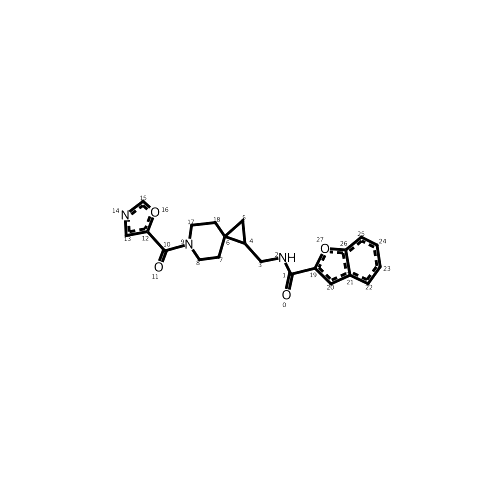 O=C(NCC1CC12CCN(C(=O)c1cnco1)CC2)c1cc2ccccc2o1